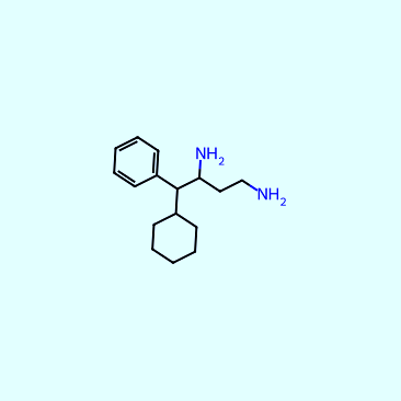 NCCC(N)C(c1ccccc1)C1CCCCC1